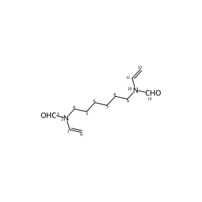 C=CN(C=O)CCCCCCN(C=C)C=O